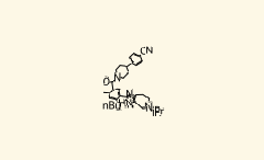 CCCCc1cc(C)c(C(=O)N2CCC(c3ccc(C#N)cc3)CC2)cc1-c1nc2c([nH]1)CN(C(C)C)CC2